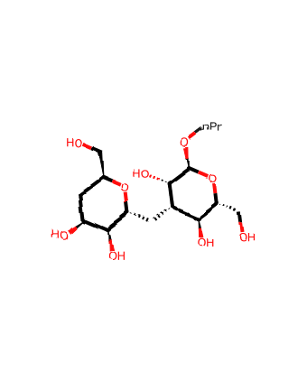 CCCO[C@H]1O[C@H](CO)[C@@H](O)[C@H](C[C@H]2O[C@H](CO)C[C@H](O)[C@@H]2O)[C@@H]1O